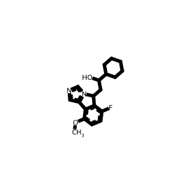 COc1ccc(F)c2c1-c1cncn1C2CC(O)C1CCCCC1